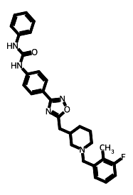 Cc1c(F)cccc1CN1CCCC(Cc2nc(-c3ccc(NC(=O)Nc4ccccc4)cc3)no2)C1